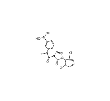 CCN(C(=O)n1nnn(-c2c(Cl)cccc2Cl)c1=O)c1cccc(N(O)O)c1